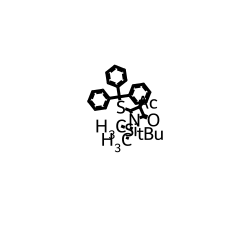 CC(=O)C1C(=O)N([Si](C)(C)C(C)(C)C)C1SC(c1ccccc1)(c1ccccc1)c1ccccc1